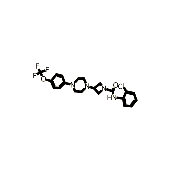 O=C(Nc1ccccc1Cl)N1CC(N2CCN(c3ccc(OC(F)(F)F)cc3)CC2)C1